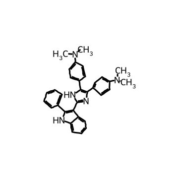 CN(C)c1ccc(-c2nc(-c3c(-c4ccccc4)[nH]c4ccccc34)[nH]c2-c2ccc(N(C)C)cc2)cc1